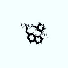 BCCc1ccc2ccccc2c1.Cc1cncc(C)c1